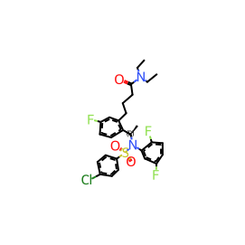 CCN(CC)C(=O)CCCc1cc(F)ccc1[C@@H](C)N(c1cc(F)ccc1F)S(=O)(=O)c1ccc(Cl)cc1